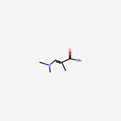 C/C(=C\N(C)C)C(=O)C(C)(C)C